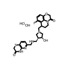 Cl.Cl.O=C1CSc2ccc(CNC[C@H]3CN(CC4CCN5C(=O)COc6ccc(F)c4c65)C[C@H]3O)nc2N1